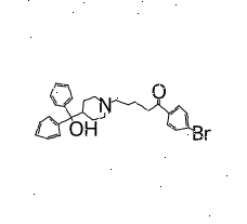 O=C(CCCCN1CCC(C(O)(c2ccccc2)c2ccccc2)CC1)c1ccc(Br)cc1